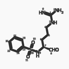 N=C(N)NCCC[C@@H](C=O)NS(=O)(=O)c1ccccc1